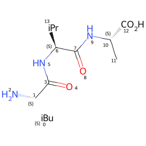 CC[C@H](C)[C@H](N)C(=O)N[C@H](C(=O)N[C@@H](C)C(=O)O)C(C)C